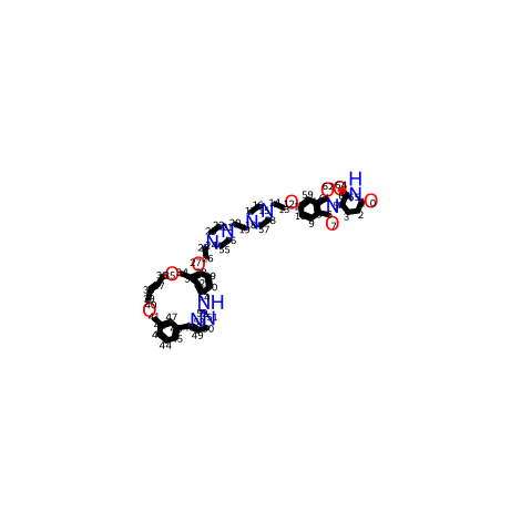 O=C1CCC(N2C(=O)c3ccc(OCCN4CCN(CCN5CCN(CCOc6ccc7cc6COC/C=C/COCc6cccc(c6)-c6ccnc(n6)N7)CC5)CC4)cc3C2=O)C(=O)N1